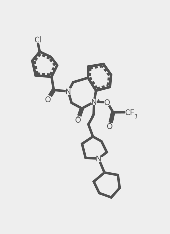 O=C(c1ccc(Cl)cc1)N1CC(=O)[N+](CCC2CCN(C3CCCCC3)CC2)(OC(=O)C(F)(F)F)c2ccccc2C1